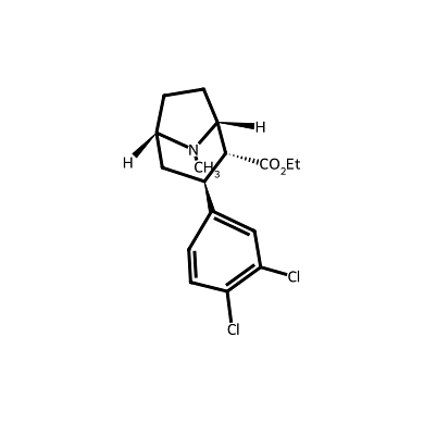 CCOC(=O)[C@@H]1[C@@H](c2ccc(Cl)c(Cl)c2)C[C@@H]2CC[C@H]1N2C